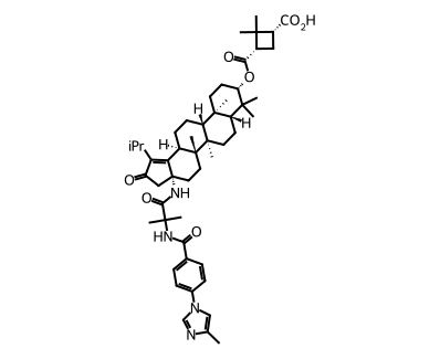 Cc1cn(-c2ccc(C(=O)NC(C)(C)C(=O)N[C@@]34CC[C@]5(C)[C@H](CC[C@@H]6[C@@]7(C)CC[C@H](OC(=O)[C@H]8C[C@@H](C(=O)O)C8(C)C)C(C)(C)[C@@H]7CC[C@]65C)C3=C(C(C)C)C(=O)C4)cc2)cn1